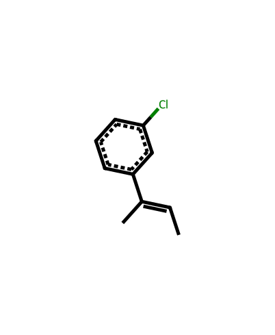 CC=C(C)c1cccc(Cl)c1